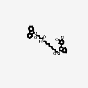 CN(C(=O)CCCCCCCNC(=O)CCC(=O)OC1c2ccccc2-c2ccccc21)[C@@H]1C[C@@H](c2ccc(Cl)c(Cl)c2)c2ccccc21